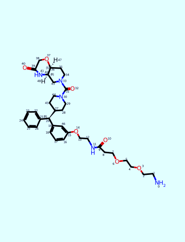 NCCOCCOCCC(=O)NCCOc1cccc([C@@H](c2ccccc2)C2CCN(C(=O)N3CC[C@@H]4OCC(=O)N[C@@H]4C3)CC2)c1